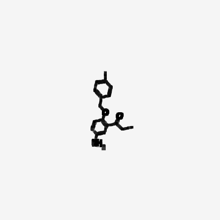 CCC(=O)c1cc(N)ccc1OCc1ccc(C)cc1